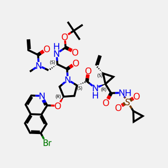 C=CC(=O)N(C)C[C@H](NC(=O)OC(C)(C)C)C(=O)N1C[C@H](Oc2nccc3ccc(Br)cc23)C[C@H]1C(=O)N[C@]1(C(=O)NS(=O)(=O)C2CC2)C[C@H]1C=C